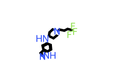 FC(F)(F)CCCN1CCC(Nc2ccc3[nH]ncc3c2)CC1